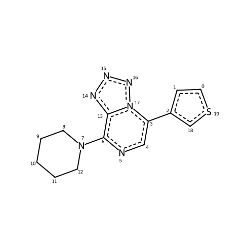 c1cc(-c2cnc(N3CCCCC3)c3nnnn23)cs1